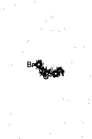 CC(Oc1ccc2ncccc2c1)c1nn(-c2cccc(Br)c2)ccc1=O